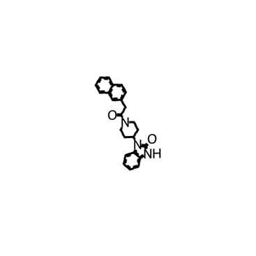 O=C(Cc1ccc2ccccc2c1)N1CCC(n2c(=O)[nH]c3ccccc32)CC1